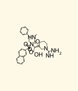 CNC(=O)[N+](CCc1ccccc1)(C(C(=O)O)[C@H]1CCCN(C(=N)N)C1)S(=O)(=O)c1ccc2ccccc2c1